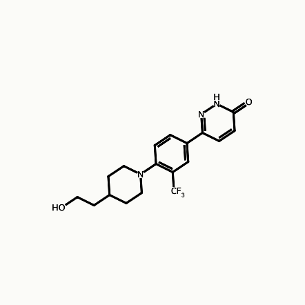 O=c1ccc(-c2ccc(N3CCC(CCO)CC3)c(C(F)(F)F)c2)n[nH]1